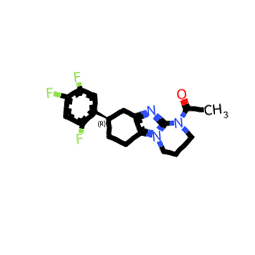 CC(=O)N1CCCn2c1nc1c2CC[C@@H](c2cc(F)c(F)cc2F)C1